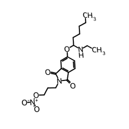 CCCCCC(NCC)Oc1ccc2c(c1)C(=O)N(CCCO[N+](=O)[O-])C2=O